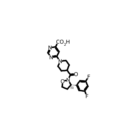 O=C(O)c1cc(N2CCC(C(=O)N3OCC[C@H]3c3cc(F)cc(F)c3)CC2)ncn1